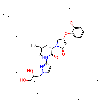 CC(C)C[C@@H](C(=O)Nc1ccn(C[C@@H](O)CO)n1)N1CC(Oc2ccccc2O)=CC1=O